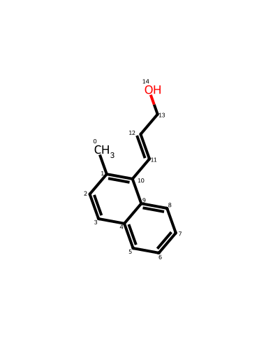 Cc1ccc2ccccc2c1/C=C/CO